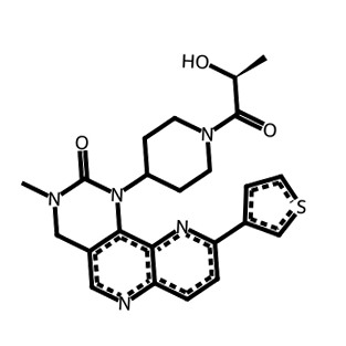 C[C@H](O)C(=O)N1CCC(N2C(=O)N(C)Cc3cnc4ccc(-c5ccsc5)nc4c32)CC1